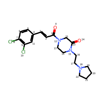 O=C(C=Cc1ccc(Cl)c(Cl)c1)N1CCN(CCN2CCCC2)C(=O)C1